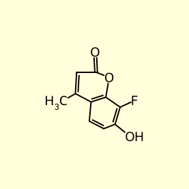 Cc1cc(=O)oc2c(F)c(O)ccc12